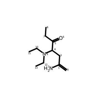 C=C(N)CC(C(=O)CC)N(CC)CC